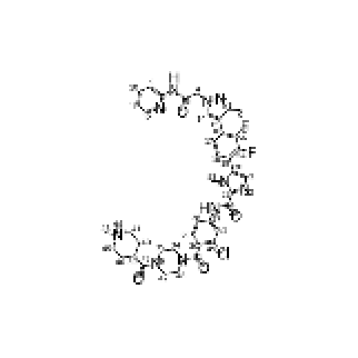 Cc1nn(CC(=O)Nc2ccccn2)cc1-c1ccc(-c2cnc(C(=O)Nc3ccc(C(=O)N4CCN(C(=O)C5CC[N+](C)(C)CC5)CC4)c(Cl)c3)n2C)c(F)c1F